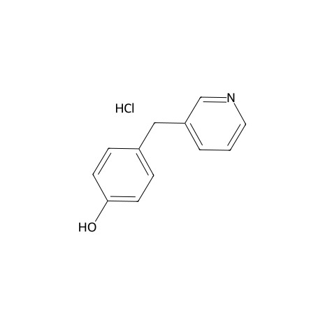 Cl.Oc1ccc(Cc2cccnc2)cc1